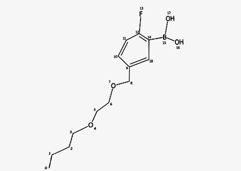 CCCCOCCOCc1ccc(F)c(B(O)O)c1